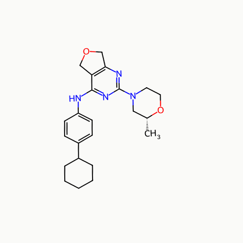 C[C@@H]1CN(c2nc3c(c(Nc4ccc(C5CCCCC5)cc4)n2)COC3)CCO1